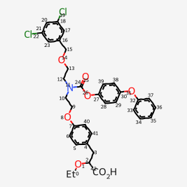 CCOC(Cc1ccc(OCCN(CCOCc2cc(Cl)cc(Cl)c2)C(=O)Oc2ccc(Oc3ccccc3)cc2)cc1)C(=O)O